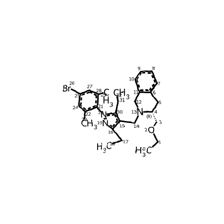 CCOC[C@H]1Cc2ccccc2CN1Cc1c(CC)nn(-c2c(C)cc(Br)cc2C)c1CC